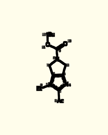 CCn1c(C(C)=O)nc2c1CN(C(=O)OC(C)(C)C)C2